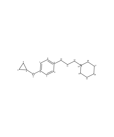 c1cc(OC2CC2)ccc1CCCN1CCCCC1